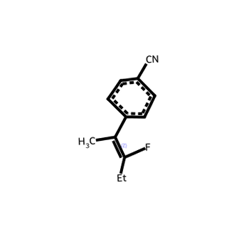 CC/C(F)=C(\C)c1ccc(C#N)cc1